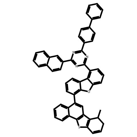 CC1CC=Cc2sc3c(cc(-c4cccc5c4oc4cccc(-c6nc(-c7ccc(-c8ccccc8)cc7)nc(-c7ccc8ccccc8c7)n6)c45)c4ccccc43)c21